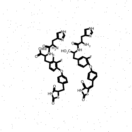 COC(=O)C(Cc1ccc(Oc2ccc(CC3SC(=O)NC3=O)cc2)c(F)c1F)NC(=O)C(N)Cc1c[nH]cn1.NC(Cc1c[nH]cn1)C(=O)NC(Cc1ccc(Oc2ccc(C=C3SC(=O)NC3=O)cc2)c(F)c1)C(=O)O